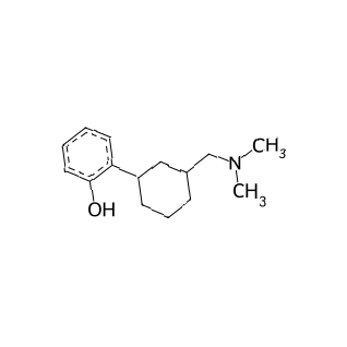 CN(C)CC1CCCC(c2ccccc2O)C1